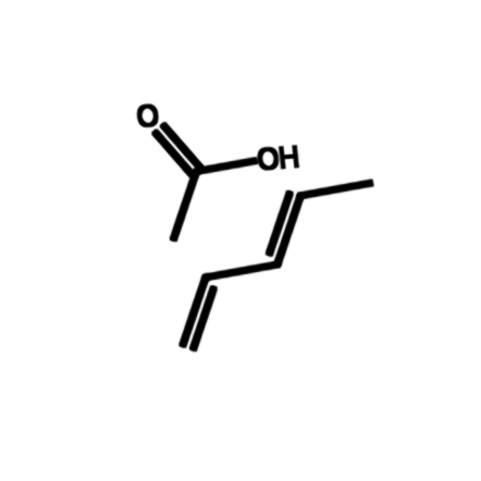 C=CC=CC.CC(=O)O